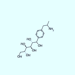 CC(N)Cc1ccc(C(O)[C@@H](O)[C@@H](O)[C@H](O)[C@H](O)CO)cc1